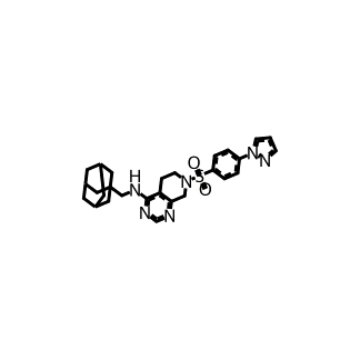 O=S(=O)(c1ccc(-n2cccn2)cc1)N1CCc2c(ncnc2NCC23CC4CC(CC(C4)C2)C3)C1